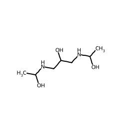 CC(O)NCC(O)CNC(C)O